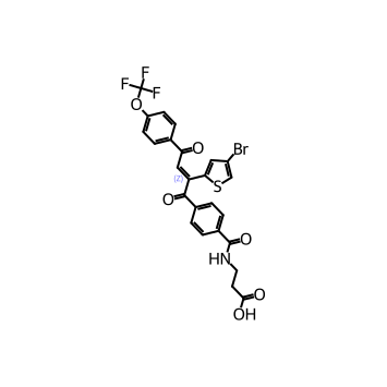 O=C(O)CCNC(=O)c1ccc(C(=O)/C(=C/C(=O)c2ccc(OC(F)(F)F)cc2)c2cc(Br)cs2)cc1